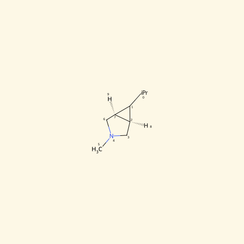 CC(C)C1[C@H]2CN(C)C[C@@H]12